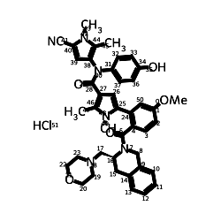 COc1ccc(C(=O)N2Cc3ccccc3C[C@H]2CN2CCOCC2)c(-c2cc(C(=O)N(c3ccc(O)cc3)c3cc(C#N)n(C)c3C)c(C)n2C)c1.Cl